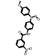 COc1ccc(N(N=O)c2ccc(NC(=O)c3cccc([N+](=O)[O-])c3)cc2)cc1